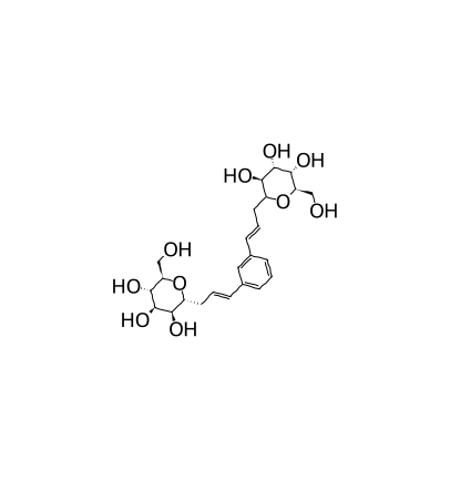 OC[C@H]1O[C@H](C/C=C/c2cccc(/C=C/CC3O[C@H](CO)[C@@H](O)[C@@H](O)[C@@H]3O)c2)[C@@H](O)[C@@H](O)[C@@H]1O